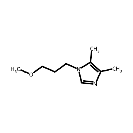 COCCCn1cnc(C)c1C